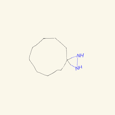 C1CCCCC2(CCC1)NN2